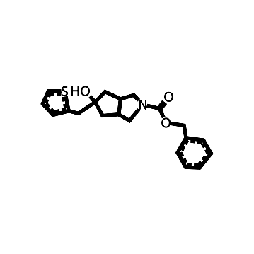 O=C(OCc1ccccc1)N1CC2CC(O)(Cc3cccs3)CC2C1